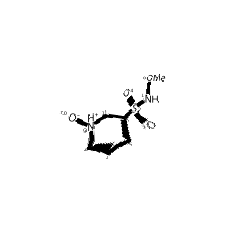 CONS(=O)(=O)C1=CC=C[NH+]([O-])C1